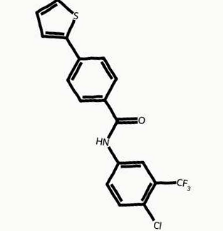 O=C(Nc1ccc(Cl)c(C(F)(F)F)c1)c1ccc(-c2cccs2)cc1